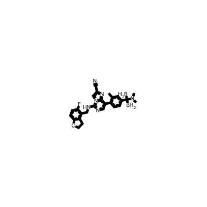 BC(B)(c1ccc(-c2cnc(NCc3c(F)ccc4c3CCO4)n3cc(C#N)nc23)c(C)c1)N(C)C